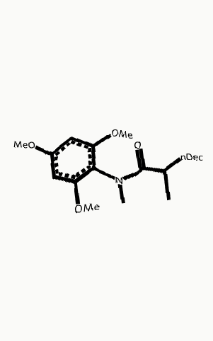 CCCCCCCCCCC(C)C(=O)N(C)c1c(OC)cc(OC)cc1OC